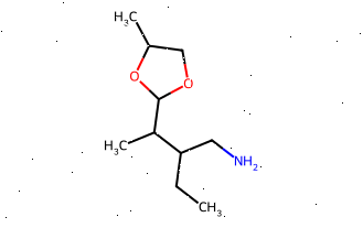 CCC(CN)C(C)C1OCC(C)O1